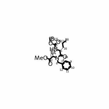 CC[C@@H](C(=O)OC)N(Cc1ccccc1)C(=O)[C@@H](CCI)NC(=O)OC(C)(C)C